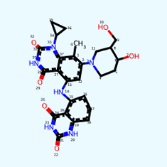 Cc1c(N2CCC(O)C(CO)C2)cc(Nc2cccc3[nH]c(=O)[nH]c(=O)c23)c2c(=O)[nH]c(=O)n(C3CC3)c12